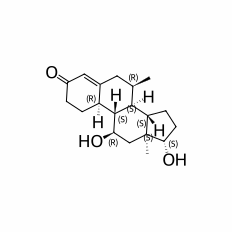 C[C@@H]1CC2=CC(=O)CC[C@@H]2[C@@H]2[C@@H]1[C@@H]1CC[C@H](O)[C@@]1(C)C[C@H]2O